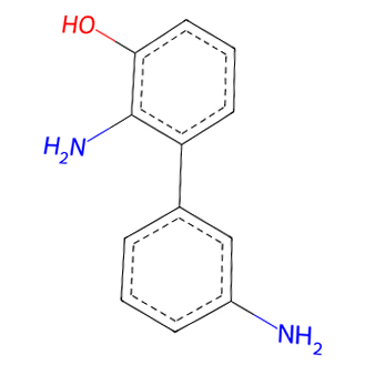 Nc1cccc(-c2cccc(O)c2N)c1